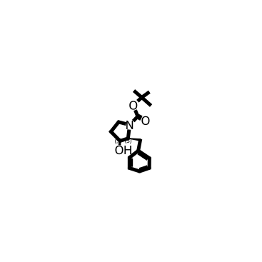 CC(C)(C)OC(=O)N1CC[C@H](O)[C@@H]1Cc1ccccc1